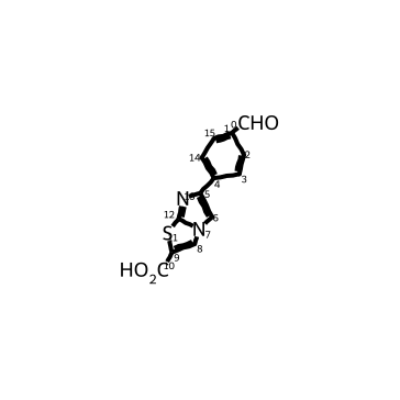 O=Cc1ccc(-c2cn3cc(C(=O)O)sc3n2)cc1